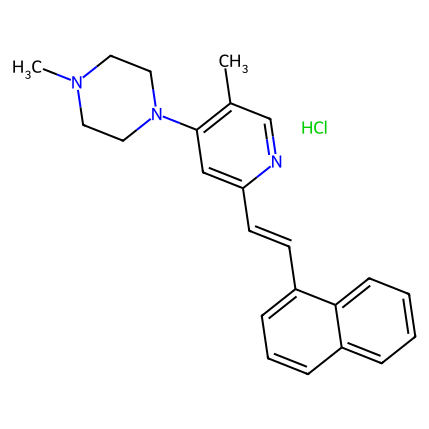 Cc1cnc(C=Cc2cccc3ccccc23)cc1N1CCN(C)CC1.Cl